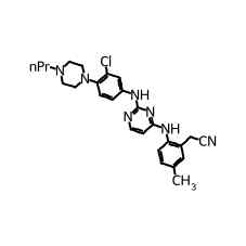 CCCN1CCN(c2ccc(Nc3nccc(Nc4ccc(C)cc4CC#N)n3)cc2Cl)CC1